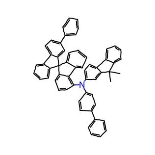 CC1(C)c2ccccc2-c2ccc(N(c3ccc(-c4ccccc4)cc3)c3cccc4c3-c3ccccc3C43c4ccccc4-c4ccc(-c5ccccc5)cc43)cc21